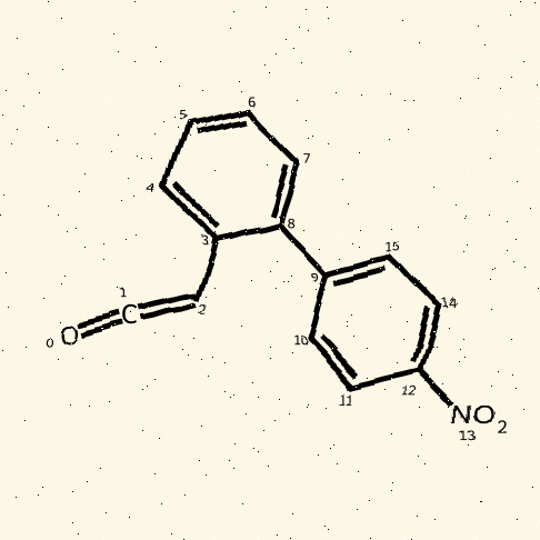 O=C=Cc1ccccc1-c1ccc([N+](=O)[O-])cc1